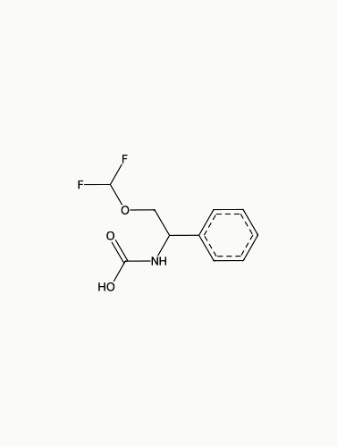 O=C(O)NC(COC(F)F)c1ccccc1